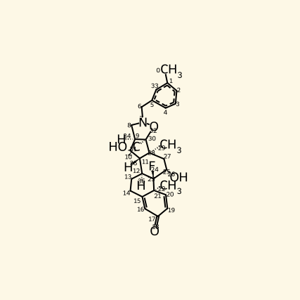 Cc1cccc(CN2C[C@@H]3C[C@H]4[C@@H]5CCC6=CC(=O)C=C[C@]6(C)[C@@]5(F)[C@@H](O)C[C@]4(C)[C@]3(C(=O)O)O2)c1